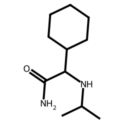 CC(C)NC(C(N)=O)C1CCCCC1